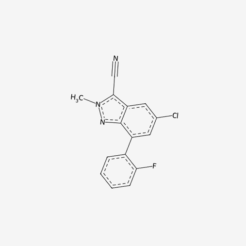 Cn1nc2c(-c3ccccc3F)cc(Cl)cc2c1C#N